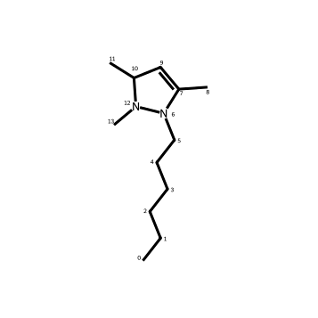 CCCCCCN1C(C)=CC(C)N1C